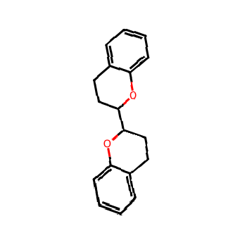 c1ccc2c(c1)CCC(C1CCc3ccccc3O1)O2